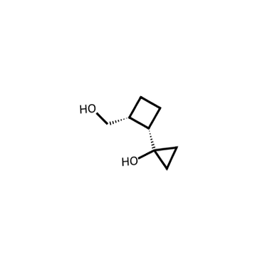 OC[C@@H]1CC[C@@H]1C1(O)CC1